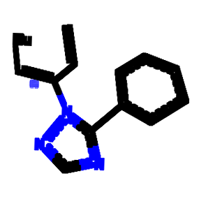 C=C/C(=C\C(C)CC)n1ncnc1-c1ccccc1